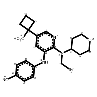 CC(C)CN(c1ncc(C2(C(=O)O)CCC2)cc1Nc1ccc(C#N)cc1)C1CCOCC1